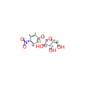 O=[N+]([O-])c1ccc(O[C@@H]2O[C@@H](CO)[C@H](O)[C@H]2O)cc1